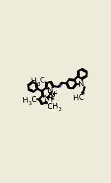 C#CCn1c2ccccc2c2cc(/C=C/c3cc(C)c4n3[B-](F)(F)[N+]3=C(C)C=C(C)C3=C4c3ccccc3)ccc21